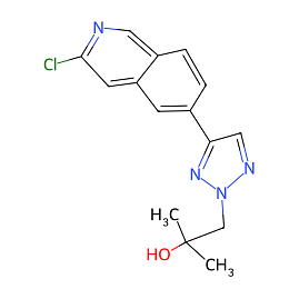 CC(C)(O)Cn1ncc(-c2ccc3cnc(Cl)cc3c2)n1